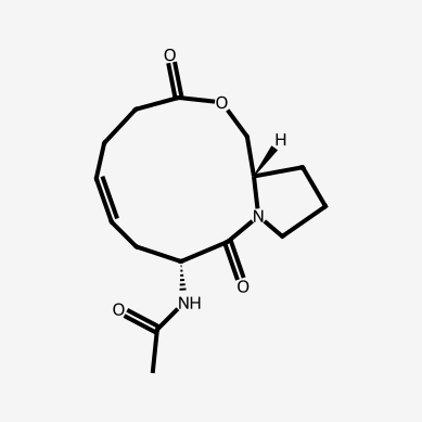 CC(=O)N[C@@H]1C/C=C\CCC(=O)OC[C@@H]2CCCN2C1=O